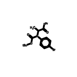 CCCC(=O)C(C)N(C(=O)OC(C)(C)C)c1ccc(Br)cc1